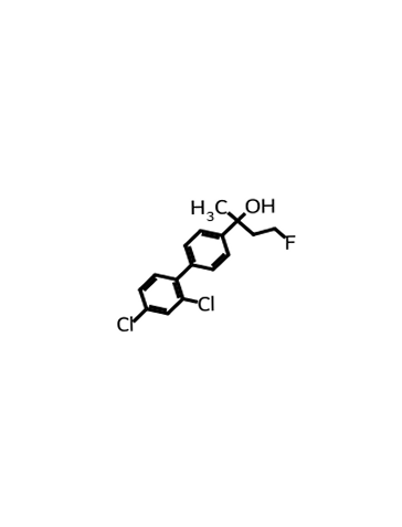 CC(O)(CCF)c1ccc(-c2ccc(Cl)cc2Cl)cc1